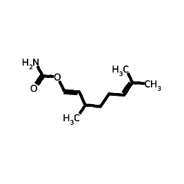 CC(C)=CCCC(C)C=COC(N)=O